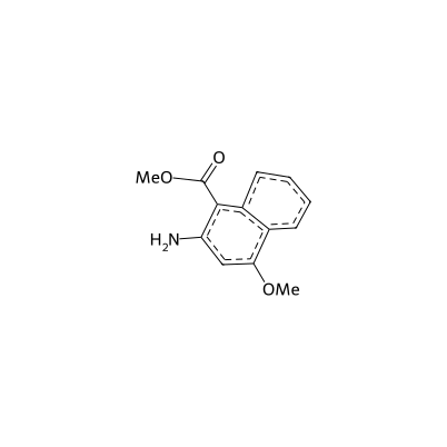 COC(=O)c1c(N)cc(OC)c2ccccc12